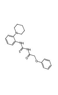 O=C(COc1ccccc1)NC(=S)Nc1ccccc1N1CCCCC1